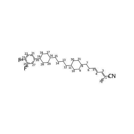 N#CC(F)=CC=CCCC1CCC(CCCCC2CCC(c3ccc(F)c(F)c3)CC2)CC1